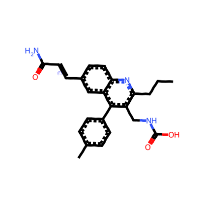 CCCc1nc2ccc(/C=C/C(N)=O)cc2c(-c2ccc(C)cc2)c1CNC(=O)O